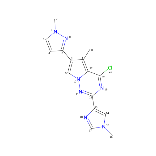 Cc1c(-c2ccn(C)n2)cn2nc(-c3cn(C)cn3)nc(Cl)c12